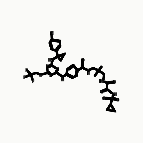 CC(C)(CNC(=O)C(=O)NS(=O)(=O)C1CC1)CNC(=O)c1ccc(Nc2nc(NC3(c4ccc(Cl)cc4)CC3)nc(OCC(F)(F)F)n2)cc1